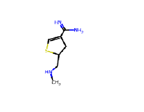 CNCC1CC(C(=N)N)=CS1